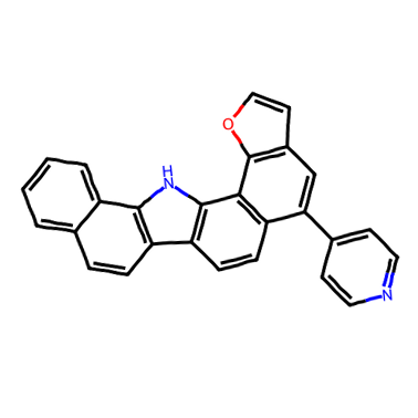 c1ccc2c(c1)ccc1c3ccc4c(-c5ccncc5)cc5ccoc5c4c3[nH]c21